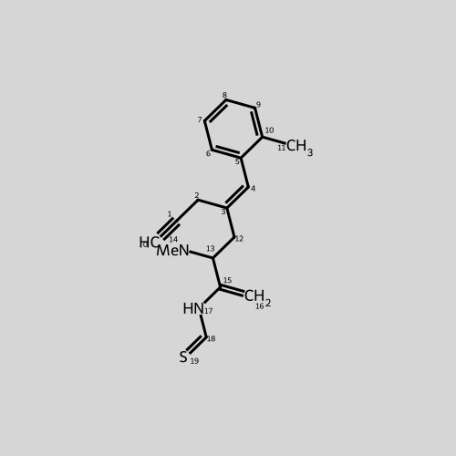 C#CC/C(=C\c1ccccc1C)CC(NC)C(=C)NC=S